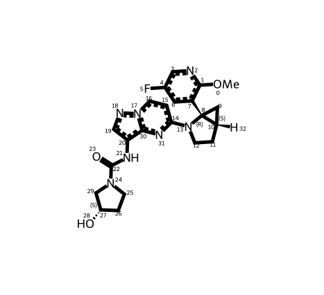 COc1ncc(F)cc1[C@@]12C[C@@H]1CCN2c1ccn2ncc(NC(=O)N3CC[C@H](O)C3)c2n1